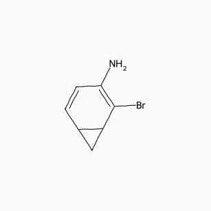 NC1=C(Br)C2CC2C=C1